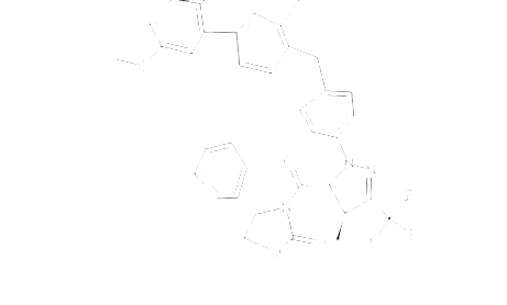 COc1ccc(F)c(-c2ccc(Cc3ccc(N4N=C(C(F)(F)F)[C@@H](C)[C@@H]4C(=O)N4C(=O)OC[C@@H]4c4ccccc4)cc3)c(C)c2)c1